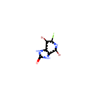 O=c1[nH]c2c(Br)nc(F)c(Br)c2[nH]1